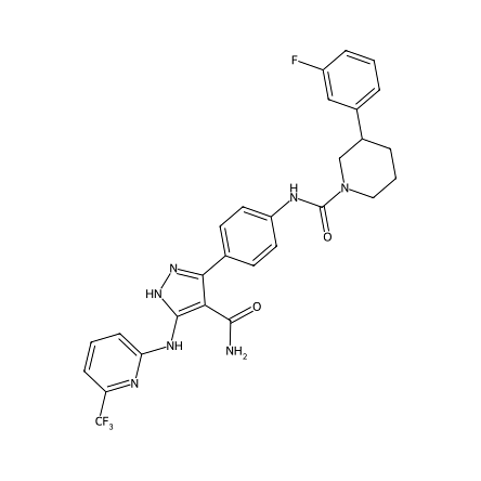 NC(=O)c1c(-c2ccc(NC(=O)N3CCCC(c4cccc(F)c4)C3)cc2)n[nH]c1Nc1cccc(C(F)(F)F)n1